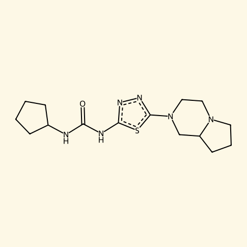 O=C(Nc1nnc(N2CCN3CCCC3C2)s1)NC1CCCC1